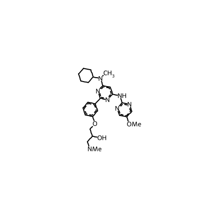 CNCC(O)COc1cccc(-c2nc(Nc3ncc(OC)cn3)cc(N(C)C3CCCCC3)n2)c1